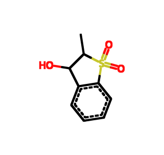 CC1C(O)c2ccccc2S1(=O)=O